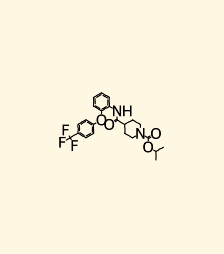 CC(C)OC(=O)N1CCC(C(=O)Nc2ccccc2Oc2ccc(C(F)(F)F)cc2)CC1